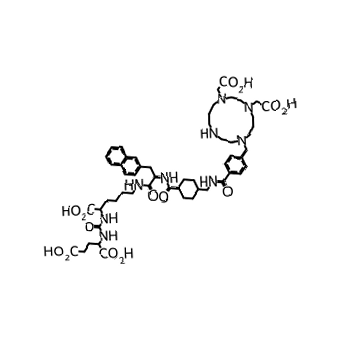 O=C(O)CCC(NC(=O)NC(CCCCNC(=O)C(Cc1ccc2ccccc2c1)NC(=O)C1CCC(CNC(=O)c2ccc(CN3CCCN(CC(=O)O)CCN(CC(=O)O)CCCNCC3)cc2)CC1)C(=O)O)C(=O)O